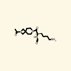 CC(=O)N1CC2(CCN(C(=O)[C@@H](CCCCN)NC=O)CC2)C1